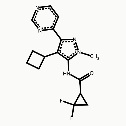 Cn1nc(-c2ccncn2)c(C2CCC2)c1NC(=O)[C@H]1CC1(F)F